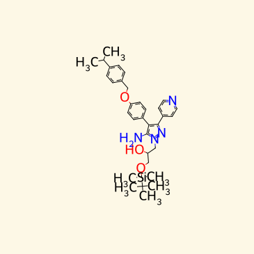 CC(C)c1ccc(COc2ccc(-c3c(-c4ccncc4)nn(CC(O)CO[Si](C)(C)C(C)(C)C)c3N)cc2)cc1